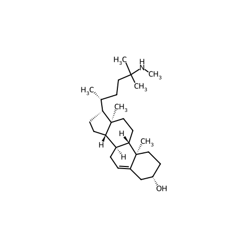 CNC(C)(C)CC[C@@H](C)[C@H]1CC[C@H]2[C@@H]3CC=C4C[C@@H](O)CC[C@]4(C)[C@H]3CC[C@]12C